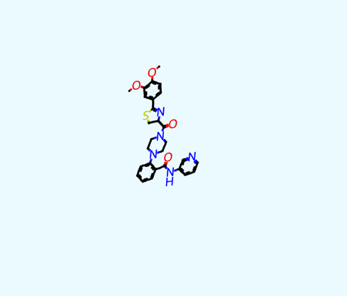 COc1ccc(C2=NC(C(=O)N3CCN(c4ccccc4C(=O)Nc4cccnc4)CC3)CS2)cc1OC